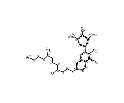 COc1cc(-c2oc3cc(CCCC(C)CCCC(C)CCCC(C)C)ccc3c(=O)c2O)cc(OC)c1O